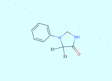 CCC1(CC)C(=O)NCN1c1ccccc1